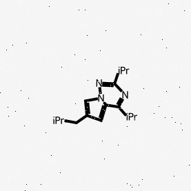 CC(C)Cc1cc2c(C(C)C)nc(C(C)C)nn2c1